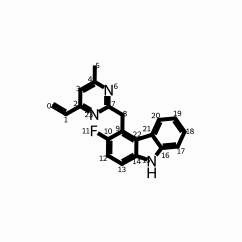 C=Cc1cc(C)nc(Cc2c(F)ccc3[nH]c4ccccc4c23)n1